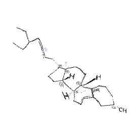 CCC(/C=C/C[C@H]1CC[C@H]2[C@@H]3CC=C4C[C@@H](O)CC[C@]4(C)[C@H]3CC[C@]12C)CC